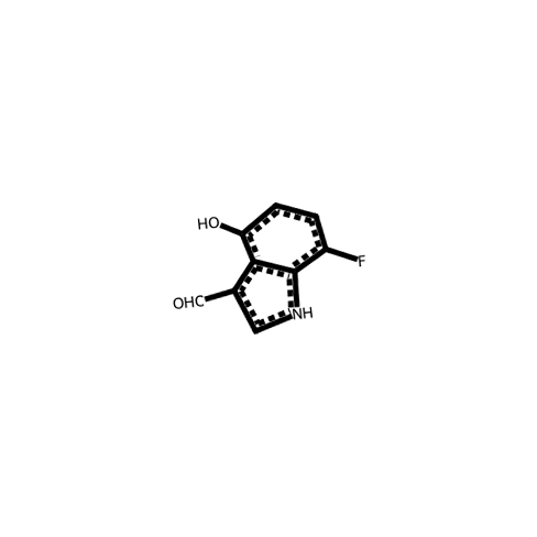 O=Cc1c[nH]c2c(F)ccc(O)c12